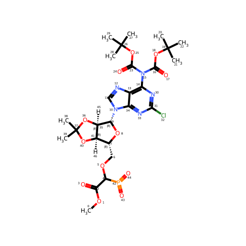 COC(=O)C(OC[C@H]1O[C@@H](n2cnc3c(N(C(=O)OC(C)(C)C)C(=O)OC(C)(C)C)nc(Cl)nc32)[C@@H]2OC(C)(C)O[C@@H]21)P(=O)=O